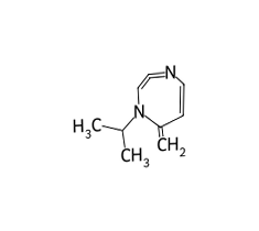 C=C1C=CN=C=CN1C(C)C